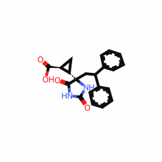 O=C1NC(=O)C(CC(c2ccccc2)c2ccccc2)([C@H]2C[C@@H]2C(=O)O)N1